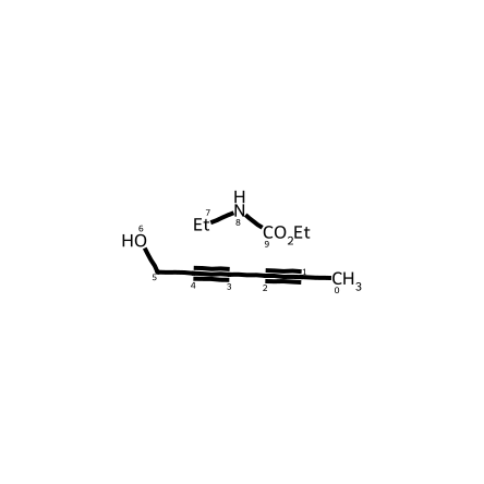 CC#CC#CCO.CCNC(=O)OCC